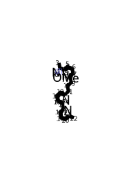 CO/N=C(/C)c1cccc(CCCc2cccc(-c3cccc(C)n3)n2)n1